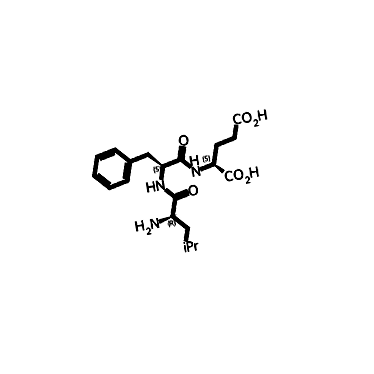 CC(C)C[C@@H](N)C(=O)N[C@@H](Cc1ccccc1)C(=O)N[C@@H](CCC(=O)O)C(=O)O